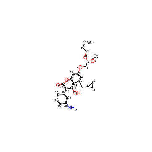 CCOC(COc1cc(CC2CC2)c2c(O)c(-c3cccc(N)c3)c(=O)oc2c1)OCCOC